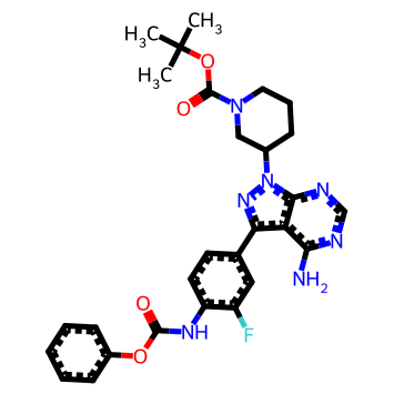 CC(C)(C)OC(=O)N1CCCC(n2nc(-c3ccc(NC(=O)Oc4ccccc4)c(F)c3)c3c(N)ncnc32)C1